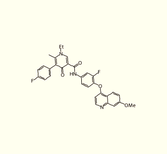 CCn1cc(C(=O)Nc2ccc(Oc3ccnc4cc(OC)ccc34)c(F)c2)c(=O)c(-c2ccc(F)cc2)c1C